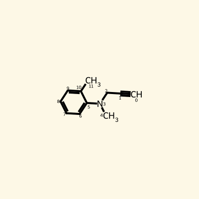 C#CCN(C)c1ccccc1C